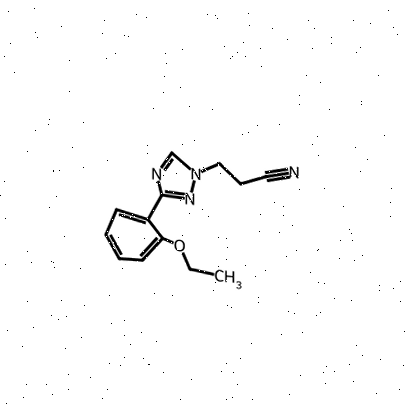 CCOc1ccccc1-c1ncn(CCC#N)n1